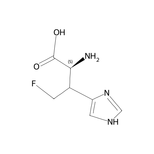 N[C@H](C(=O)O)C(CF)c1c[nH]cn1